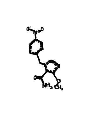 COc1ncn(Cc2ccc([N+](=O)[O-])cc2)c1C(N)=O